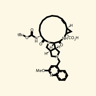 COc1cc(CN2C[C@H]3CN4C(=O)[C@H](NC(=O)OC(C)(C)C)CCCCCC/C=C\[C@H]5C[C@@]5(C(=O)O)NC(=O)[C@@H]4[C@H]3C2)c2ccccc2n1